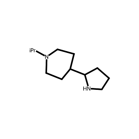 CC(C)N1CCC(C2CCCN2)CC1